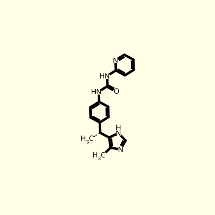 Cc1nc[nH]c1[C@H](C)c1ccc(NC(=O)Nc2ccccn2)cc1